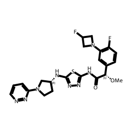 CO[C@H](C(=O)Nc1nnc(N[C@@H]2CCN(c3cccnn3)C2)s1)c1ccc(F)c(N2CC(F)C2)c1